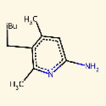 CCC(C)Cc1c(C)cc(N)nc1C